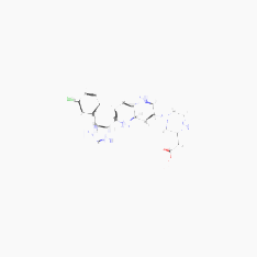 COC(=O)CC1CN(c2cnc3ccc(-c4nc[nH]c4-c4cccc(Cl)c4)nc3c2)CCN1